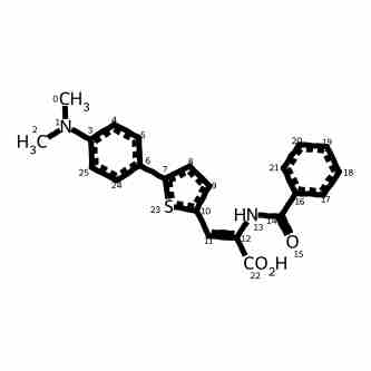 CN(C)c1ccc(-c2ccc(/C=C(\NC(=O)c3ccccc3)C(=O)O)s2)cc1